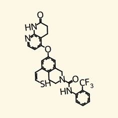 O=C1CCc2c(Oc3cc(/C=C\S)c4c(c3)CN(C(=O)Nc3ccccc3C(F)(F)F)CC4)ccnc2N1